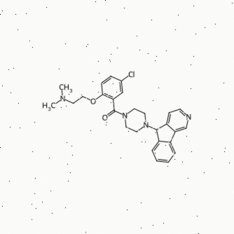 CN(C)CCOc1ccc(Cl)cc1C(=O)N1CCN(C2c3ccccc3-c3cnccc32)CC1